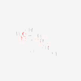 CCCO[C@H]1[C@@H]2O[C@@H]2[C@H](OCC23CC4C(C)CCC4C4(C=O)CC2C=C(C(C)C)C43C(=O)O)O[C@@H]1C